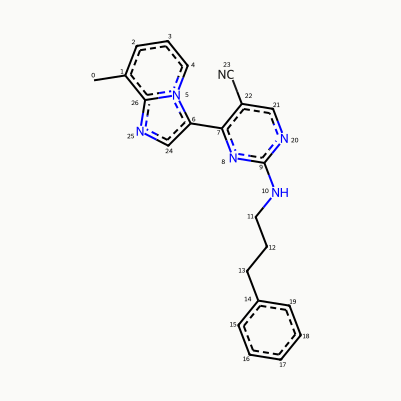 Cc1cccn2c(-c3nc(NCCCc4ccccc4)ncc3C#N)cnc12